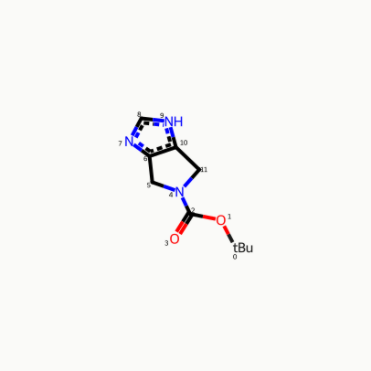 CC(C)(C)OC(=O)N1Cc2nc[nH]c2C1